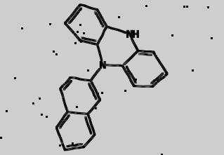 c1ccc2c(c1)Nc1ccccc1N2c1ccc2ccccc2c1